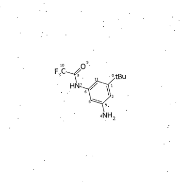 CC(C)(C)c1cc(N)cc(NC(=O)C(F)(F)F)c1